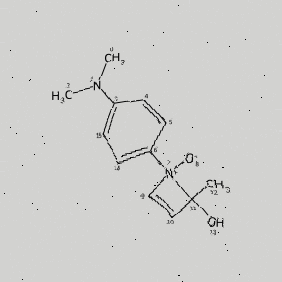 CN(C)c1ccc([N+]2([O-])C=CC2(C)O)cc1